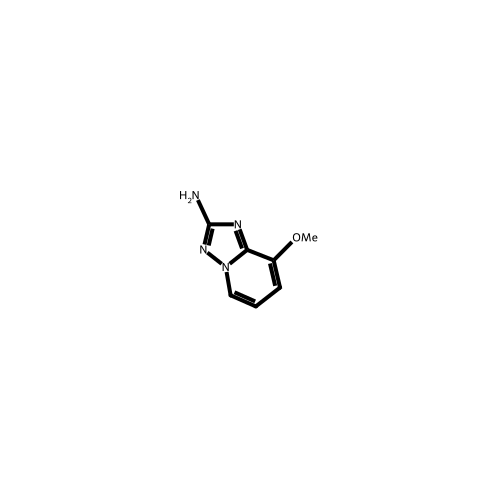 COc1cccn2nc(N)nc12